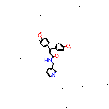 COc1ccc(C(=CC(=O)NCc2cccnc2)c2ccc(OC)cc2)cc1